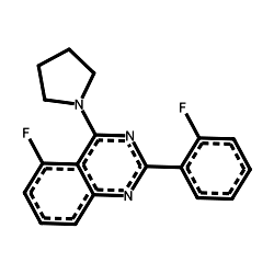 Fc1ccccc1-c1nc(N2CCCC2)c2c(F)cccc2n1